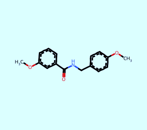 COc1ccc(CNC(=O)c2cccc(OC)c2)cc1